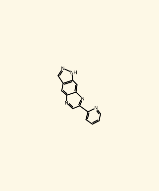 c1ccc(-c2cnc3cc4cn[nH]c4cc3n2)nc1